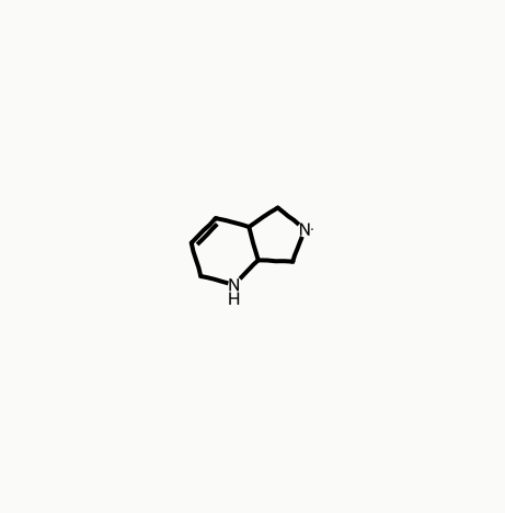 C1=CC2C[N]CC2NC1